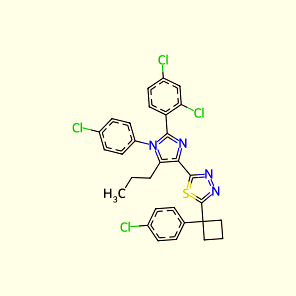 CCCc1c(-c2nnc(C3(c4ccc(Cl)cc4)CCC3)s2)nc(-c2ccc(Cl)cc2Cl)n1-c1ccc(Cl)cc1